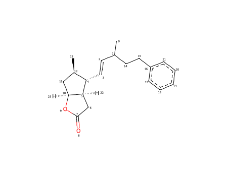 CC(/C=C/[C@@H]1[C@H]2CC(=O)O[C@H]2C[C@H]1C)CCc1ccccc1